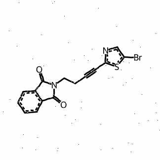 O=C1c2ccccc2C(=O)N1CCC#Cc1ncc(Br)s1